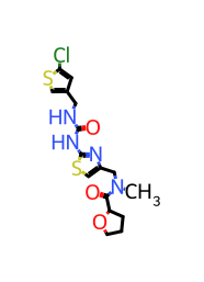 CN(Cc1csc(NC(=O)NCc2csc(Cl)c2)n1)C(=O)C1CCCO1